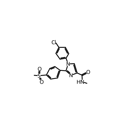 CNC(=O)c1cn(-c2ccc(Cl)cc2)c(-c2ccc(S(C)(=O)=O)cc2)n1